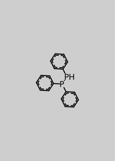 c1ccc(PP(c2ccccc2)c2ccccc2)cc1